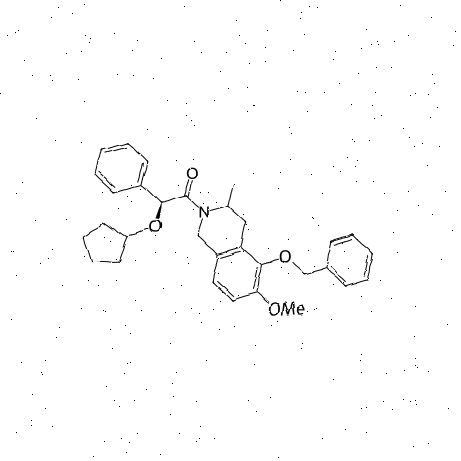 COc1ccc2c(c1OCc1ccccc1)CC(C)N(C(=O)[C@@H](OC1CCCC1)c1ccccc1)C2